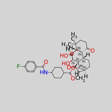 C=C1C(=O)[C@]23[C@H](OC(=O)C4CCC(NC(=O)c5ccc(F)cc5)CC4)[C@H]1CC[C@H]2[C@@]12CO[C@]3(O)[C@@H](O)[C@@H]1C(C)(C)CCC2=O